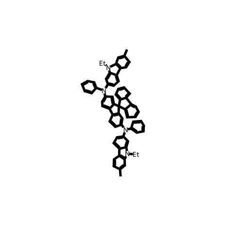 CCn1c2cc(C)ccc2c2ccc(N(c3ccccc3)c3ccc4c(c3)C3(c5ccccc5-c5ccccc53)c3cc(N(c5ccccc5)c5ccc6c7ccc(C)cc7n(CC)c6c5)ccc3-4)cc21